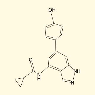 O=C(Nc1cc(-c2ccc(O)cc2)cc2[nH]ncc12)C1CC1